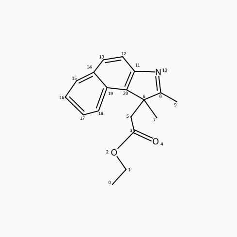 CCOC(=O)CC1(C)C(C)=Nc2ccc3ccccc3c21